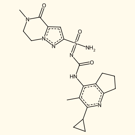 Cc1c(C2CC2)nc2c(c1NC(=O)N=S(N)(=O)c1cc3n(n1)CCN(C)C3=O)CCC2